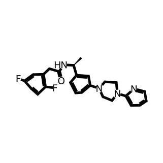 C[C@H](NC(=O)Cc1cc(F)ccc1F)c1cccc(N2CCN(c3ccccn3)CC2)c1